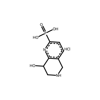 Cl.O=P(O)(O)c1ccc2c(n1)C(O)CNC2